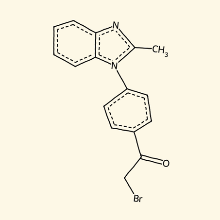 Cc1nc2ccccc2n1-c1ccc(C(=O)CBr)cc1